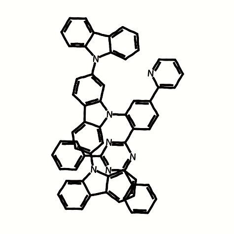 c1ccc(-c2nc(-c3ccccc3)nc(-c3ccc(-c4ccccn4)cc3-n3c4cc(-n5c6ccccc6c6ccccc65)ccc4c4ccc(-n5c6ccccc6c6ccccc65)cc43)n2)cc1